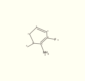 CC1CC=CC(F)=C1N